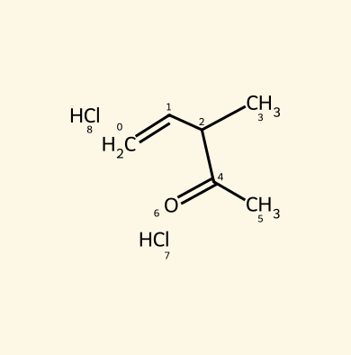 C=CC(C)C(C)=O.Cl.Cl